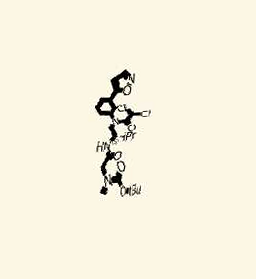 CC(C)[C@@H](CN(C(=O)C(Cl)Cl)c1cccc(-c2ccno2)c1)NC(=O)CN(C)C(=O)OC(C)(C)C